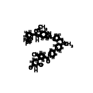 COC1Cc2nn([C@H]3CC[C@H](CN(C)C4CCN(C5CCN(C(=O)c6ccc(Cl)c(N7CCC(=O)NC7=O)c6)CC5)CC4)CC3)cc2C=C1NC(=O)c1cccc(C(F)(F)F)n1